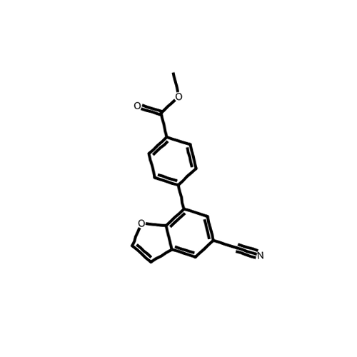 COC(=O)c1ccc(-c2cc(C#N)cc3ccoc23)cc1